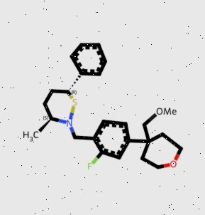 COCC1(c2ccc(CN3S[C@@H](c4ccccc4)CC[C@@H]3C)c(F)c2)CCOCC1